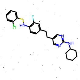 Fc1cc(CCc2cnc(NC3CCCCC3)nc2)ccc1NSc1ccccc1Cl